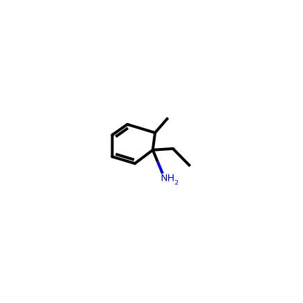 CCC1(N)C=CC=CC1C